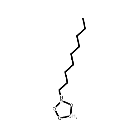 CCCCCCCCC[SiH]1OO[SiH2]O1